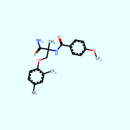 [C-]#[N+]c1ccc(OCC(C)(NC(=O)c2ccc(OC(F)(F)F)cc2)C(N)=S)c(C(F)(F)F)c1